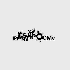 COc1ccc(N2N=[N+](c3nnc(N(C(C)C)C(C)C)s3)CC2C)cc1